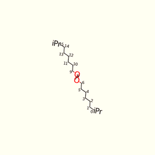 CC(C)CCCCCCOOCCCCCCC(C)C